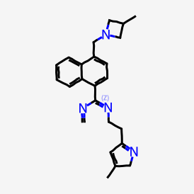 C=N/C(=N\CCC1=NCC(C)=C1)c1ccc(CN2CC(C)C2)c2ccccc12